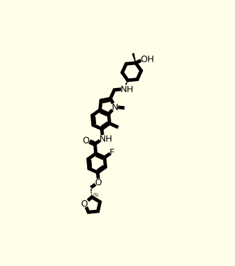 Cc1c(NC(=O)c2ccc(OC[C@@H]3CCCO3)cc2F)ccc2cc(CN[C@H]3CC[C@@](C)(O)CC3)n(C)c12